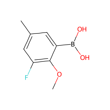 COc1c(F)cc(C)cc1B(O)O